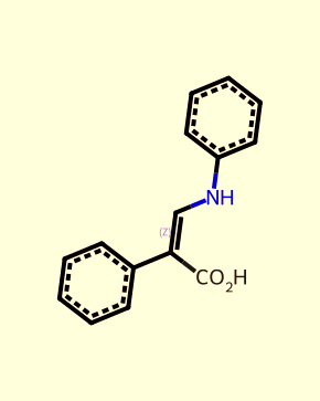 O=C(O)/C(=C\Nc1ccccc1)c1ccccc1